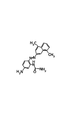 Cc1cc(N=Nc2ccc(N)cc2NC(N)=O)cc2c(C)cccc12